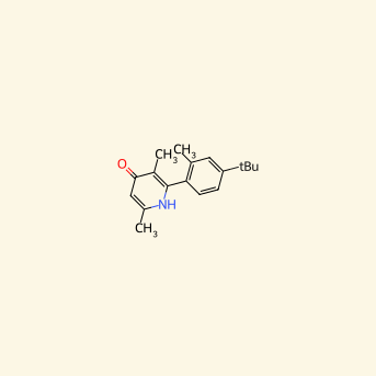 Cc1cc(=O)c(C)c(-c2ccc(C(C)(C)C)cc2C)[nH]1